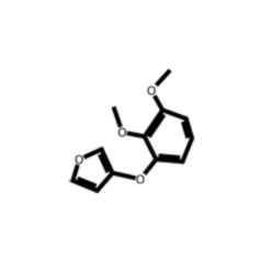 COc1cccc(Oc2c[c]oc2)c1OC